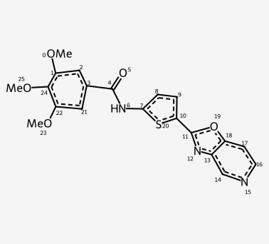 COc1cc(C(=O)Nc2ccc(-c3nc4cnccc4o3)s2)cc(OC)c1OC